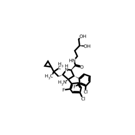 CC(C)(C[C@@H]1N[C@@H](C(=O)NCC[C@H](O)CO)[C@H](c2cccc(Cl)c2F)[C@@]1(N)c1ccc(Cl)cc1F)C1CC1